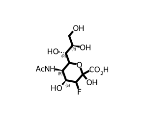 CC(=O)N[C@H]1C([C@H](O)[C@H](O)CO)OC(O)(C(=O)O)C(F)[C@H]1O